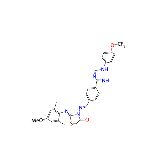 COc1cc(C)c(/N=C2\SCC(=O)N2/N=C/c2ccc(C(=N)/N=C\Nc3ccc(OC(F)(F)F)cc3)cc2)c(C)c1